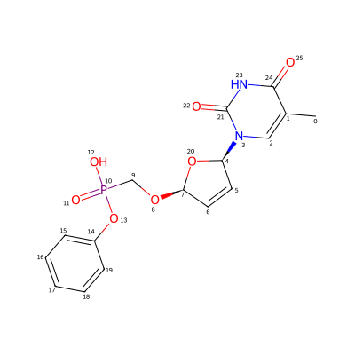 Cc1cn([C@H]2C=C[C@@H](OCP(=O)(O)Oc3ccccc3)O2)c(=O)[nH]c1=O